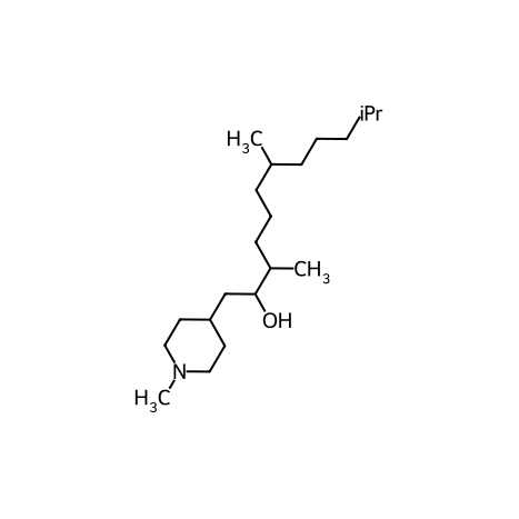 CC(C)CCCC(C)CCCC(C)C(O)CC1CCN(C)CC1